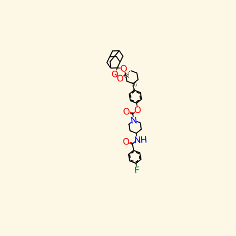 O=C(NC1CCN(C(=O)Oc2ccc([C@@H]3CCC[C@]4(C3)OOC3(O4)C4CC5CC(C4)CC3C5)cc2)CC1)c1ccc(F)cc1